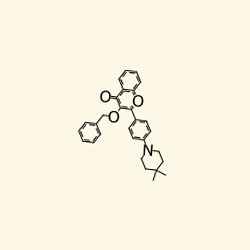 CC1(C)CCN(c2ccc(-c3oc4ccccc4c(=O)c3OCc3ccccc3)cc2)CC1